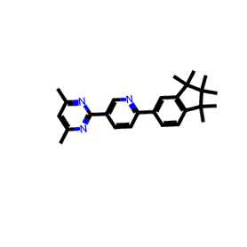 Cc1cc(C)nc(-c2ccc(-c3ccc4c(c3)C(C)(C)C(C)(C)C4(C)C)nc2)n1